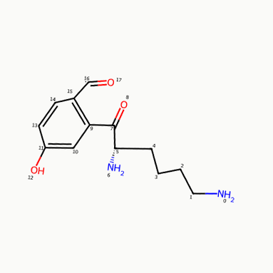 NCCCC[C@H](N)C(=O)c1cc(O)ccc1[C]=O